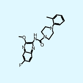 COc1nc2cc(F)ccc2nc1NC(=O)N1CCN(c2ccccc2C)CC1